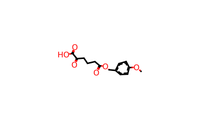 COc1ccc(COC(=O)CCCC(=O)C(=O)O)cc1